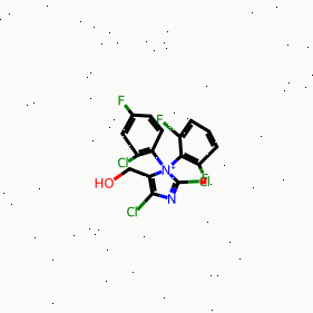 OCC1=C(Cl)N=C(Cl)[N+]1(c1ccc(F)cc1Cl)c1c(F)cccc1F